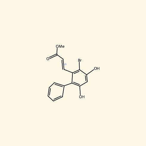 COC(=O)/C=C/c1c(Br)c(O)cc(O)c1-c1ccccc1